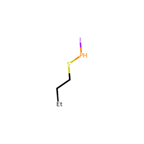 CCCCSPI